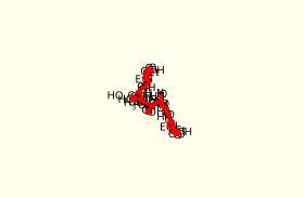 CCc1c2c(nc3ccc(OCNC(=O)OCc4ccc(NC(=O)[C@H](CCCNC(N)=O)NC(=O)[C@@H](NC(=O)CN(CCN5C(=O)C=CC5=O)CC(=O)NCCC(=O)N(C)CC(=O)Nc5cc(COC(=O)NCOc6ccc7nc8c(c(CC)c7c6)Cn6c-8cc7c(c6=O)COC(=O)[C@]7(O)CC)ccc5O[C@@H]5O[C@H](C(=O)O)[C@@H](O)[C@H](O)[C@H]5O)C(C)C)cc4)cc13)-c1cc3c(c(=O)n1C2)COC(=O)[C@]3(O)CC